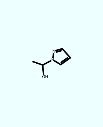 CC(O)n1cccn1